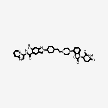 COc1cc2nn(C3CCC(CCN4CCN(c5cccc6c5oc(=O)n6C5CCC(=O)NC5=O)CC4)CC3)cc2cc1C(=O)Nc1cnc2cccnn12